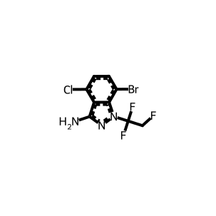 Nc1nn(C(F)(F)CF)c2c(Br)ccc(Cl)c12